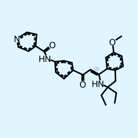 CCC1(CC)Cc2ccc(OC)cc2/C(=C/C(=O)c2ccc(NC(=O)c3ccncc3)cc2)N1